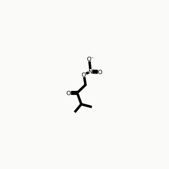 CC(C)C(=O)CO[N+](=O)[O-]